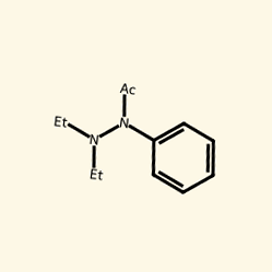 CCN(CC)N(C(C)=O)c1ccccc1